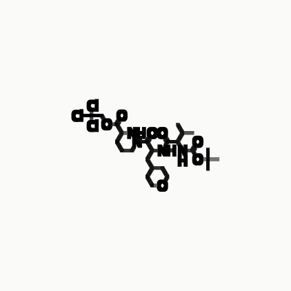 CC(C)C(NC(=O)OC(C)(C)C)C(=O)NC(CC1CCOCC1)C(=O)N1CCCC(C(=O)OCC(Cl)(Cl)Cl)N1